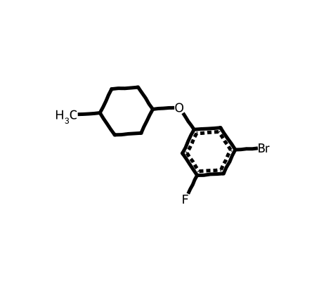 CC1CCC(Oc2cc(F)cc(Br)c2)CC1